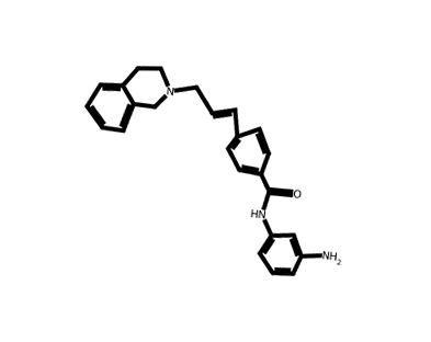 Nc1cccc(NC(=O)c2ccc(C=CCN3CCc4ccccc4C3)cc2)c1